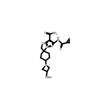 COC1CN(C2CCC(CC#N)(n3cc(C(N)=O)c(NC(=O)C4CC4)n3)CC2)C1